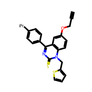 C#CCOc1ccc2c(c1)c(-c1ccc(C(C)C)cc1)nc(=S)n2Cc1cccs1